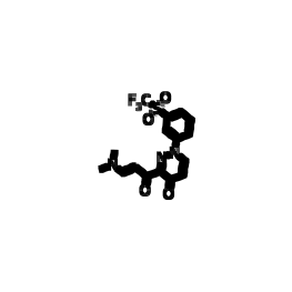 CN(C)C=CC(=O)c1nn(-c2cccc(S(=O)(=O)C(F)(F)F)c2)ccc1=O